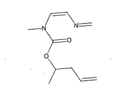 C=CCC(C)OC(=O)N(C)/C=C\N=C